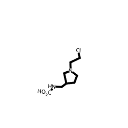 O=C(O)NCC1CCN(CCCl)C1